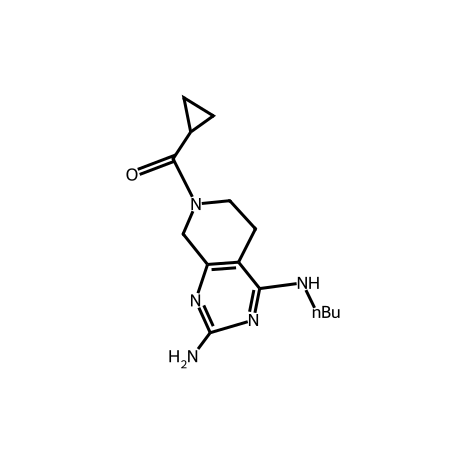 CCCCNc1nc(N)nc2c1CCN(C(=O)C1CC1)C2